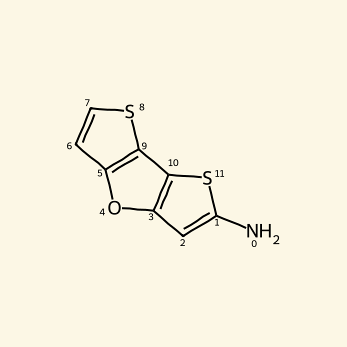 Nc1cc2oc3ccsc3c2s1